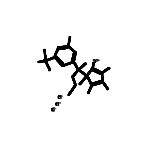 CCC[Si](C)(c1cc(C)cc([Si](C)(C)C)c1)C1(C)C(C)=C(C)C(C)=[C]1[Ti+3].[Cl-].[Cl-].[Cl-]